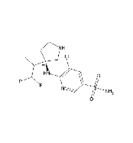 CC(C(F)F)[C@]1(Nc2ncc(S(N)(=O)=O)cc2Cl)CCNC1